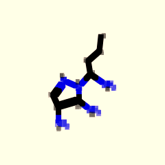 CCCC(N)n1ncc(N)c1N